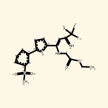 CCOC(=O)CN/C(=C\C(=N)C(F)(F)F)c1ccc(-c2cccc(S(C)(=O)=O)c2)s1